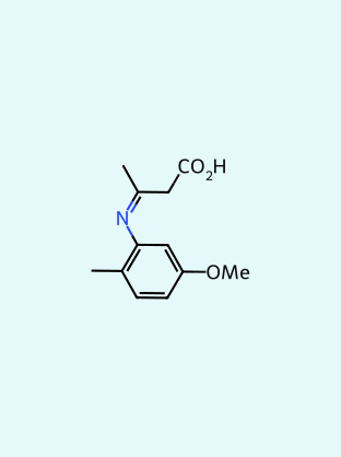 COc1ccc(C)c(/N=C(/C)CC(=O)O)c1